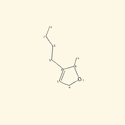 CCCCC1=CCOC1C